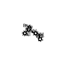 Cc1ccccc1S(=O)(=O)Nc1ccc(CNc2cc(-c3ccccc3Cl)nc3c(Br)cnn23)cc1